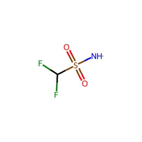 [NH]S(=O)(=O)C(F)F